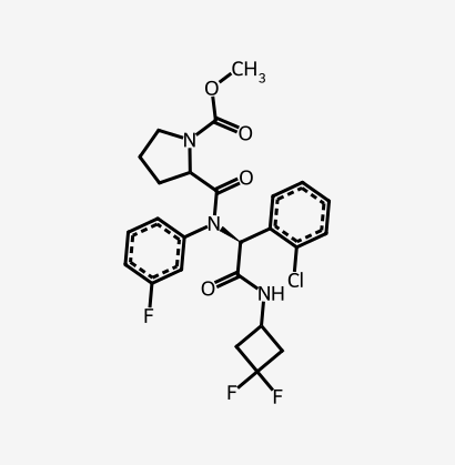 COC(=O)N1CCCC1C(=O)N(c1cccc(F)c1)[C@H](C(=O)NC1CC(F)(F)C1)c1ccccc1Cl